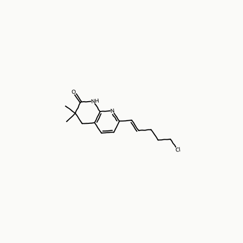 CC1(C)Cc2ccc(/C=C/CCCCl)nc2NC1=O